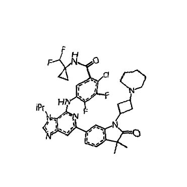 CC(C)n1cnc2cc(-c3ccc4c(c3)N(C3CC(N5CCCCC5)C3)C(=O)C4(C)C)nc(Nc3cc(C(=O)NC4(C(F)F)CC4)c(Cl)c(F)c3F)c21